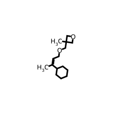 C/C(=C/COCC1(C)COC1)C1CCCCC1